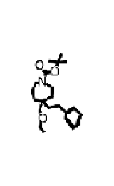 CCOC[C@@]1(CCc2ccccc2)CCCN(C(=O)OC(C)(C)C)CC1